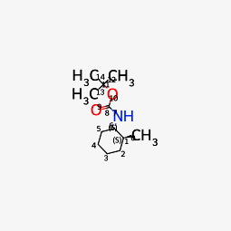 C[C@H]1CCCC[C@@H]1NC(=O)OC(C)(C)C